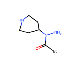 CCC(=O)N(N)C1CCNCC1